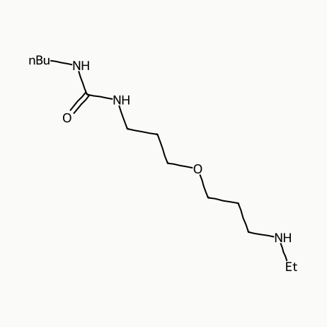 CCCCNC(=O)NCCCOCCCNCC